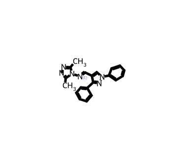 Cc1nnc(C)n1/N=C/c1cn(-c2ccccc2)nc1-c1ccccc1